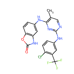 Cc1cnc(Nc2ccc(Cl)c(C(F)(F)F)c2)nc1Nc1ccc2oc(=O)[nH]c2c1